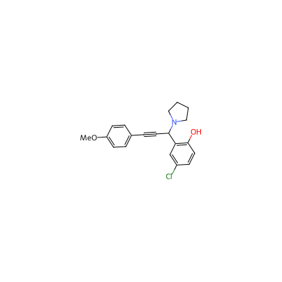 COc1ccc(C#CC(c2cc(Cl)ccc2O)N2CCCC2)cc1